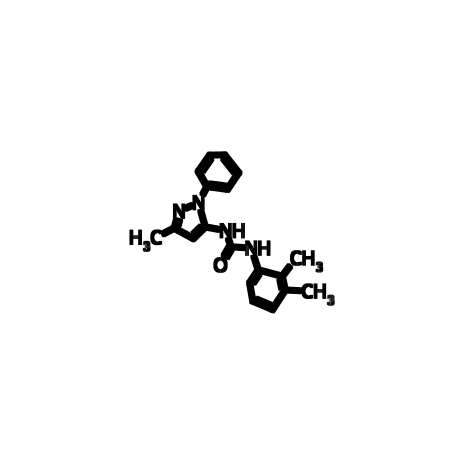 Cc1cc(NC(=O)Nc2cccc(C)c2C)n(-c2ccccc2)n1